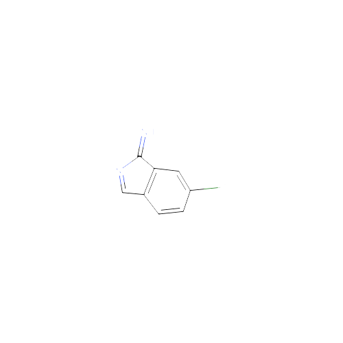 N=C1N=Cc2ccc(Cl)cc21